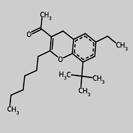 CCCCCCC1=C(C(C)=O)Cc2cc(CC)cc(C(C)(C)C)c2O1